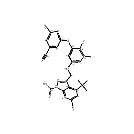 CC(C)(C)c1cc(F)nc2c1c(COc1cc(F)c(Cl)c(Oc3cc(Cl)cc(C#N)c3)c1)nn2C(=O)O